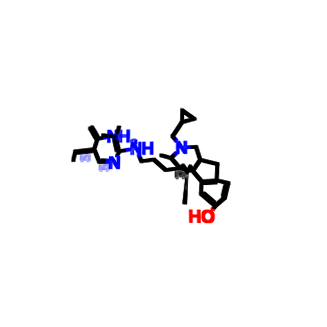 C=C(N)C(/C=N\C(NCCCC12C[C@H](C)CC13c1cc(O)ccc1CC3CN(CC1CC1)C2C)=C(C)C)=C/C